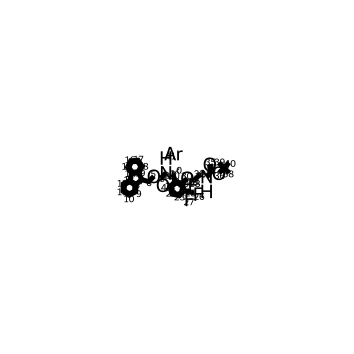 C[C@@H](NC(=O)OCC1c2ccccc2-c2ccccc21)c1cccc(C(F)(F)F)c1OCCNC(=O)OC(C)(C)C.[Ar]